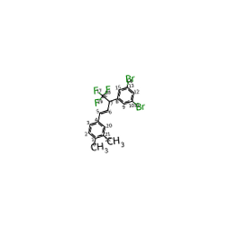 Cc1ccc(/C=C/C(c2cc(Br)cc(Br)c2)C(F)(F)F)cc1C